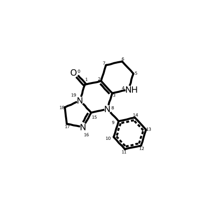 O=C1C2=C(NCCC2)N(c2ccccc2)C2=NCCN12